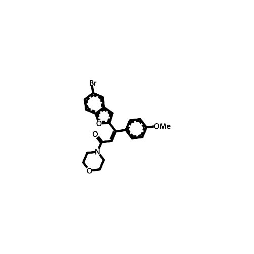 COc1ccc(/C(=C/C(=O)N2CCOCC2)c2cc3cc(Br)ccc3o2)cc1